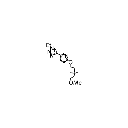 CCn1nnc(-c2ccc(OCCC(C)(C)CCOC)nc2)n1